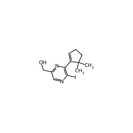 CC1(C)CCC=C1c1nc(CO)cnc1I